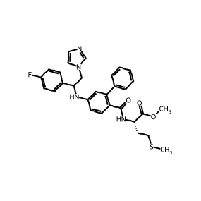 COC(=O)[C@H](CCSC)NC(=O)c1ccc(NC(Cn2ccnc2)c2ccc(F)cc2)cc1-c1ccccc1